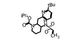 C=CS(=O)(=O)NC1CCCN(C(=O)OC(C)C)C1Cc1cccc(C(C)(C)C)n1